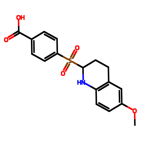 COc1ccc2c(c1)CCC(S(=O)(=O)c1ccc(C(=O)O)cc1)N2